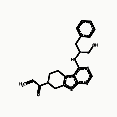 C=CC(=O)N1CCc2c(sc3ncnc(N[C@H](CO)Cc4ccccc4)c23)C1